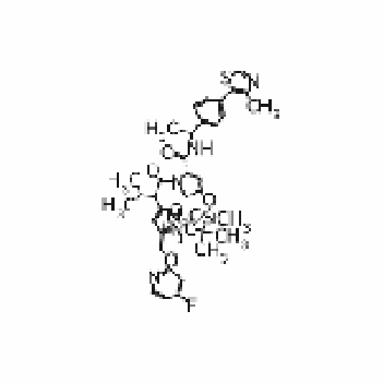 Cc1ncsc1-c1ccc(C(C)NC(=O)[C@@H]2C[C@@H](O[Si](C)(C)C(C)(C)C)CN2C(=O)C(c2cc(COc3cc(F)ccn3)no2)C(C)C)cc1